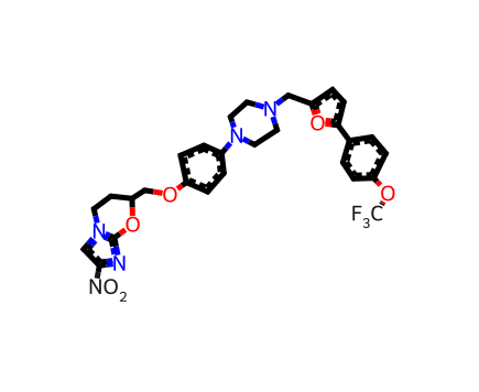 O=[N+]([O-])c1cn2c(n1)OC(COc1ccc(N3CCN(Cc4ccc(-c5ccc(OC(F)(F)F)cc5)o4)CC3)cc1)CC2